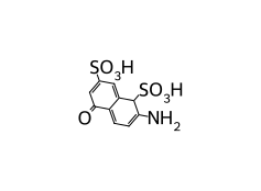 NC1=CC=C2C(=O)C=C(S(=O)(=O)O)C=C2C1S(=O)(=O)O